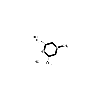 C[C@@H]1CN(C)C[C@H](C)N1.Cl.Cl